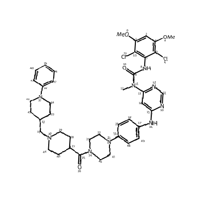 COc1cc(OC)c(Cl)c(NC(=O)N(C)c2cc(Nc3ccc(N4CCN(C(=O)C5CCN(CC6CCN(c7ccccc7)CC6)CC5)CC4)cc3)ncn2)c1Cl